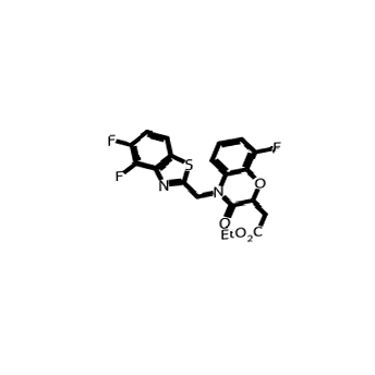 CCOC(=O)CC1Oc2c(F)cccc2N(Cc2nc3c(F)c(F)ccc3s2)C1=O